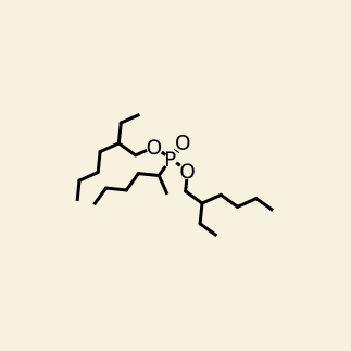 CCCCC(CC)COP(=O)(OCC(CC)CCCC)C(C)CCCC